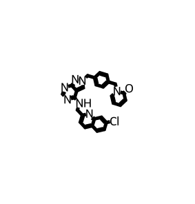 O=c1ccccn1Cc1ccc(Cn2cc3c(NCc4ccc5ccc(Cl)cc5n4)ncnc3n2)cc1